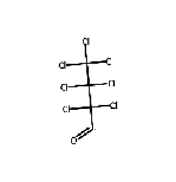 O=[C]C(Cl)(Cl)C(Cl)(Cl)C(Cl)(Cl)Cl